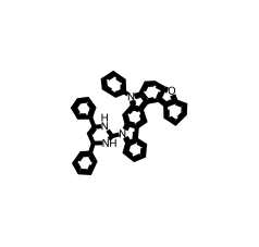 C1=C(c2ccccc2)NC(n2c3ccccc3c3cc4c5c6c(ccc5n(-c5ccccc5)c4cc32)oc2ccccc26)NC1c1ccccc1